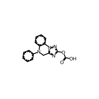 O=C(O)Oc1nc2n(n1)-c1ccccc1N(c1ccccc1)C2